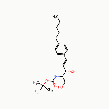 CCCCCc1ccc(/C=C/[C@H](O)[C@@H](CO)NC(=O)OC(C)(C)C)cc1